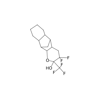 OC1(C(F)(F)F)OC2C3CC(C4CCCCC43)C2CC1(F)F